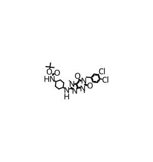 Cn1c(NC2CCC(NC(=O)OC(C)(C)C)CC2)nc2c1c(=O)n(Cc1ccc(Cl)c(Cl)c1)c(=O)n2C